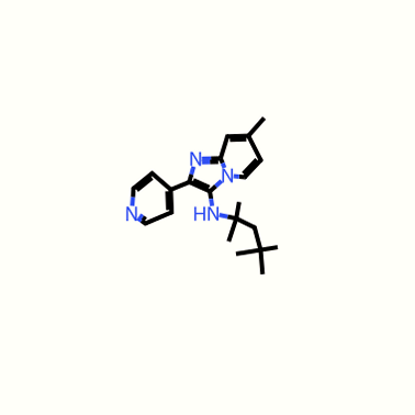 Cc1ccn2c(NC(C)(C)CC(C)(C)C)c(-c3ccncc3)nc2c1